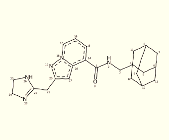 O=C(NCC12CC3CC(CC(C3)C1)C2)c1cccn2nc(CC3=NCCN3)cc12